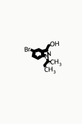 CC[C@H](C)n1nc(CO)c2cc(Br)ccc21